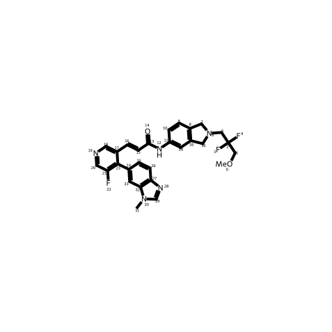 COCC(F)(F)CN1Cc2ccc(NC(=O)C=Cc3cncc(F)c3-c3ccc4ncn(C)c4c3)cc2C1